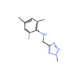 Cc1cc(C)c(NCc2nnn(C)n2)c(C)c1